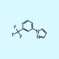 FC(F)(F)c1[c]ccc(-n2cccn2)c1